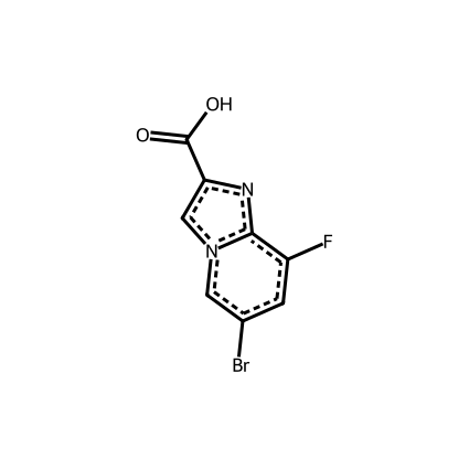 O=C(O)c1cn2cc(Br)cc(F)c2n1